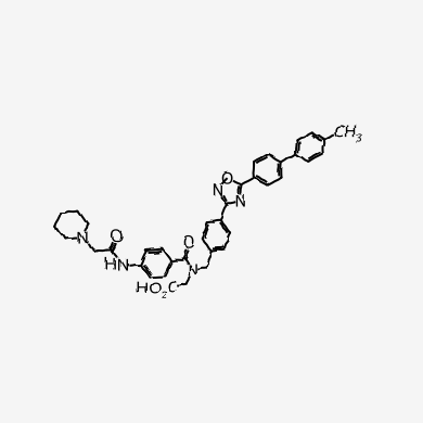 Cc1ccc(-c2ccc(-c3nc(-c4ccc(CN(CC(=O)O)C(=O)c5ccc(NC(=O)CN6CCCCC6)cc5)cc4)no3)cc2)cc1